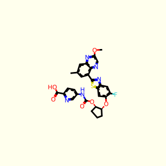 COc1cnc2c(-c3nc4cc(F)c(O[C@H]5CCC[C@H]5OC(=O)Nc5ccc(C(=O)O)nc5)cc4s3)cc(C)cc2n1